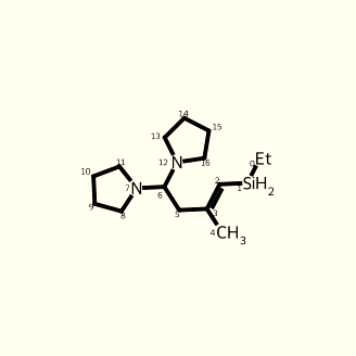 CC[SiH2]C=C(C)CC(N1CCCC1)N1CCCC1